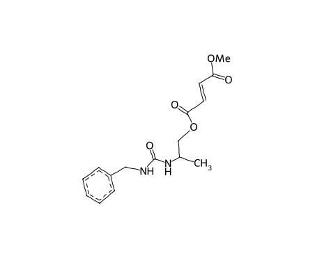 COC(=O)/C=C/C(=O)OCC(C)NC(=O)NCc1ccccc1